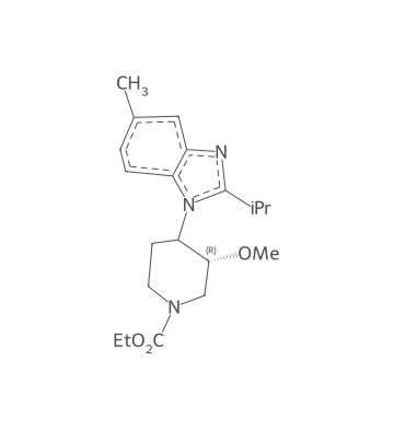 CCOC(=O)N1CCC(n2c(C(C)C)nc3cc(C)ccc32)[C@H](OC)C1